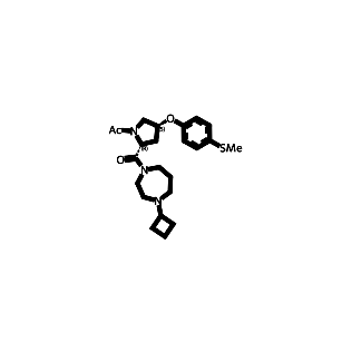 CSc1ccc(O[C@H]2C[C@H](C(=O)N3CCCN(C4CCC4)CC3)N(C(C)=O)C2)cc1